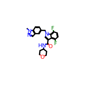 Cn1ncc2cc(Cn3cc(C(=O)NC4CCOCC4)c4c(F)ccc(F)c43)ccc21